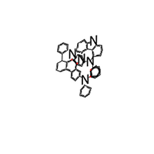 C1=CC(c2ccccc2)c2c(c3ccc(N(c4ccccc4)c4ccccc4)cc3c3nc4c5c(ccc4nc23)=Nc2cccc(N(c3ccccc3)c3ccccc3)c2-5)=C1